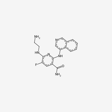 NCCNc1nc(Nc2cncc3ccccc23)c(C(N)=O)cc1F